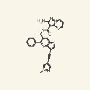 C[C@H](NC(=O)c1c(N)nn2cccnc12)c1cc2scc(C#Cc3cnn(C)c3)c2nc1-c1ccccc1